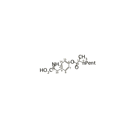 CCCCCC(C)C(=O)Oc1ccc(CC(N)C(=O)O)cc1